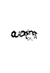 CCn1c2c(c3sc(Cc4cc[nH]n4)nc31)C=NN(Cc1ccccc1)C2